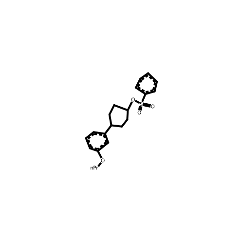 CCCOc1cccc(C2CCC(OS(=O)(=O)c3ccccc3)CC2)c1